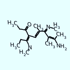 C=N\C(CC)=C(/C=C(C)/C(=N/C)C(/C)=C(\C)N)C(=O)CC